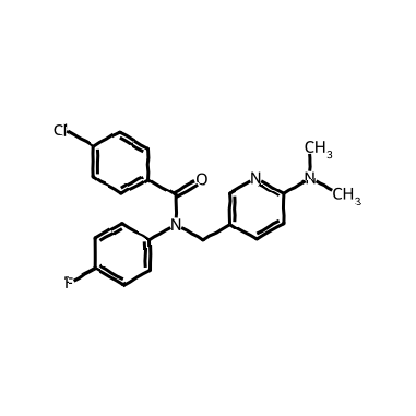 CN(C)c1ccc(CN(C(=O)c2ccc(Cl)cc2)c2ccc(F)cc2)cn1